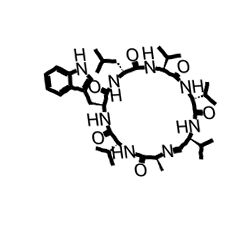 CC(C)C[C@H]1NC(=O)[C@H](Cc2c[nH]c3ccccc23)NC(=O)[C@@H](C(C)C)NC(=O)[C@H](C)/N=C/[C@H](C(C)C)NC(=O)[C@@H](C(C)C)NC(=O)[C@H](C(C)C)NC1=O